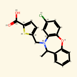 CC1c2ccccc2Oc2ccc(Cl)cc2N1Cc1ccc(C(=O)O)s1